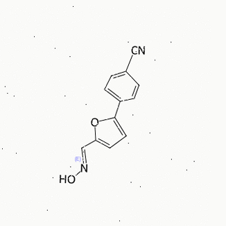 N#Cc1ccc(-c2ccc(/C=N/O)o2)cc1